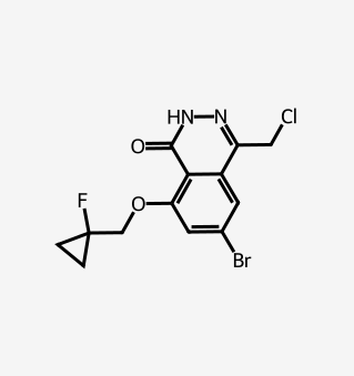 O=c1[nH]nc(CCl)c2cc(Br)cc(OCC3(F)CC3)c12